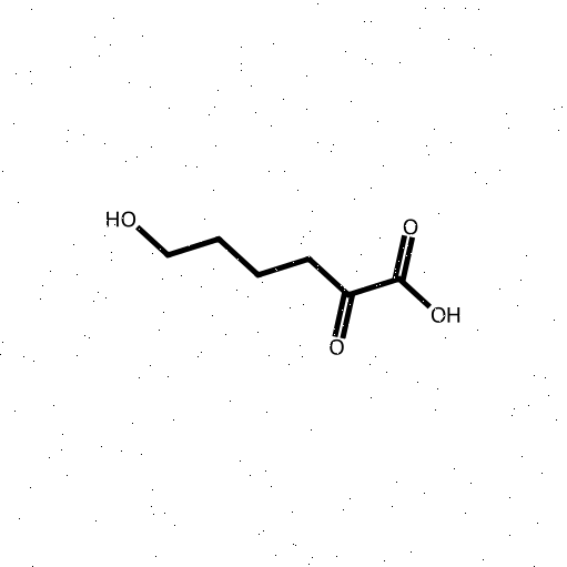 O=C(O)C(=O)CCCCO